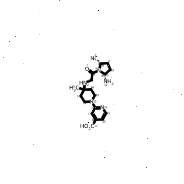 CC1(NCC(=O)N2[C@H](C#N)CC[C@@H]2N)CCN(c2cc(C(=O)O)ccn2)CC1